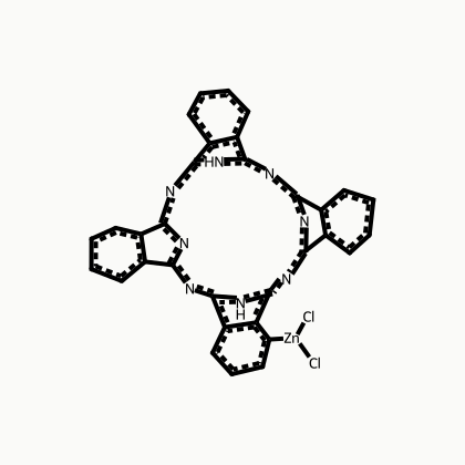 [Cl][Zn]([Cl])[c]1cccc2c3nc4nc(nc5[nH]c(nc6nc(nc([nH]3)c12)-c1ccccc1-6)c1ccccc51)-c1ccccc1-4